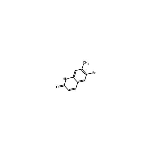 Cc1cc2[nH]c(=O)ccc2cc1Br